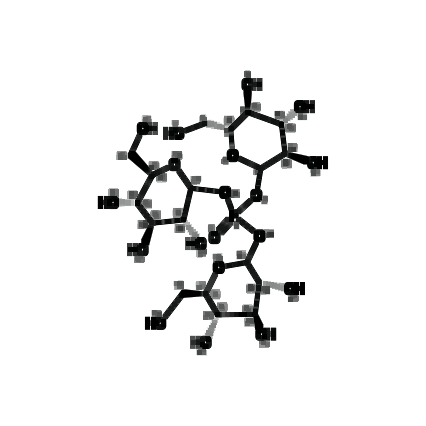 O=P(OC1O[C@H](CO)[C@@H](O)[C@H](O)[C@H]1O)(OC1O[C@H](CO)[C@@H](O)[C@H](O)[C@H]1O)OC1O[C@H](CO)[C@@H](O)[C@H](O)[C@H]1O